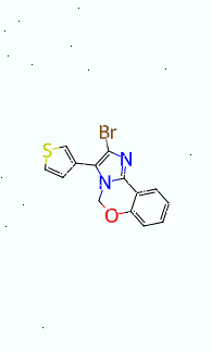 Brc1nc2n(c1-c1ccsc1)COc1ccccc1-2